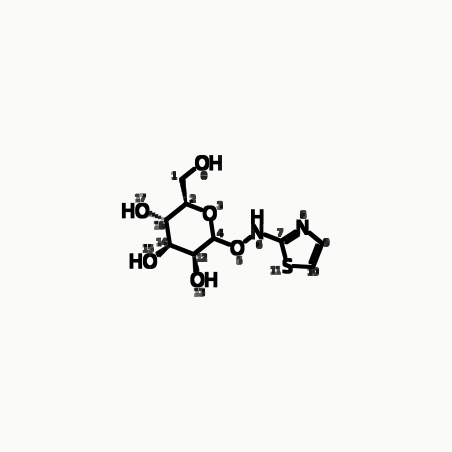 OC[C@H]1OC(ONc2nccs2)[C@@H](O)[C@@H](O)[C@@H]1O